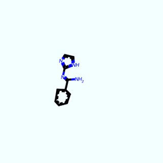 NC(=Nc1ncc[nH]1)c1ccccc1